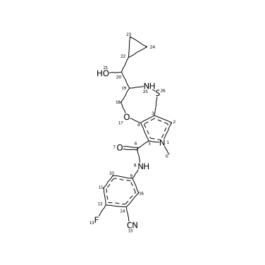 Cn1cc2c(c1C(=O)Nc1ccc(F)c(C#N)c1)OCC(C(O)C1CC1)NS2